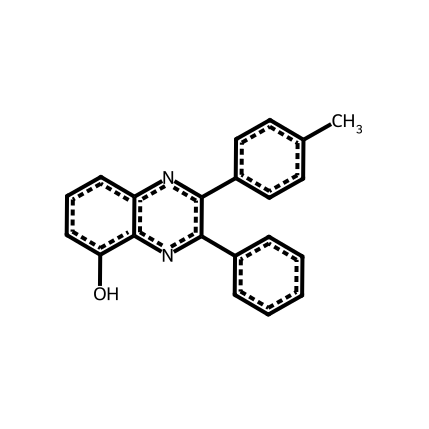 Cc1ccc(-c2nc3cccc(O)c3nc2-c2ccccc2)cc1